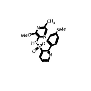 COc1nc(C)cnc1NS(=O)(=O)c1cccnc1-c1ccc(SC)cc1